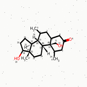 CC1CC2CC(=O)CC(C)[C@]2(CO)[C@@H]2CC[C@]3(C)C(O)CC[C@H]3[C@H]12